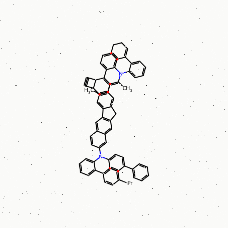 C/C(=C\c1cc2c(cc1C)-c1cc3ccc(N(c4ccc(-c5ccccc5)cc4)c4ccccc4-c4ccc(C(C)C)cc4)cc3cc1C2)N(c1ccccc1C1=CCCC=C1)c1ccccc1C1=CC=CC2C#CC12